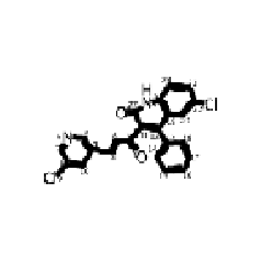 O=C(C=Cc1cncc(Cl)c1)c1c(-c2ccccc2)c2cc(Cl)ccc2[nH]c1=O